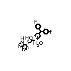 O.OC(CSc1ncnc2nc[nH]c12)CN1CCC(=C(c2ccc(F)cc2)c2ccc(F)cc2)CC1